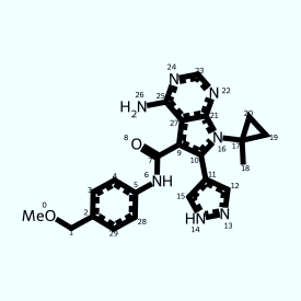 COCc1ccc(NC(=O)c2c(-c3cn[nH]c3)n(C3(C)CC3)c3ncnc(N)c23)cc1